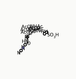 CC(=O)N[C@H]1[C@H](OC(OCCOCCn2cc(CNC(=O)c3ccc(/N=N/c4ccc(N(C)C)cc4)cc3)nn2)C(C)(OC(C)=O)C(=O)NCCNc2cccc3c(S(=O)(=O)O)cccc23)O[C@H](COC(C)=O)[C@@H](OC(C)=O)[C@@H]1OC(C)=O